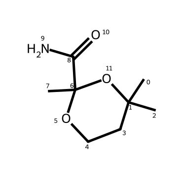 CC1(C)CCOC(C)(C(N)=O)O1